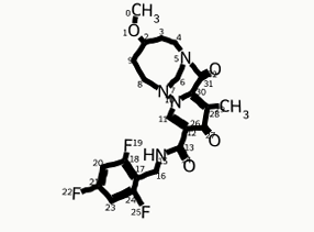 COC1CCN2CN(CC1)n1cc(C(=O)NCc3c(F)cc(F)cc3F)c(=O)c(C)c1C2=O